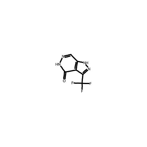 O=c1[nH]ncc2[nH]nc(C(F)(F)F)c12